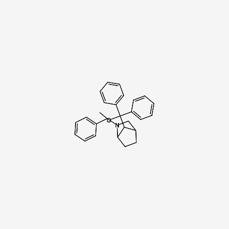 COC(c1ccccc1)(c1ccccc1)C1C2CCC1N(Cc1ccccc1)C2